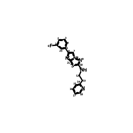 Fc1cccc(-c2cn3nc(NCCc4ccccn4)sc3n2)c1